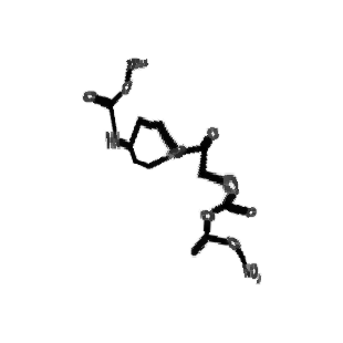 CC(OC(=O)OCC(=O)N1CCC(NC(=O)OC(C)(C)C)CC1)O[N+](=O)[O-]